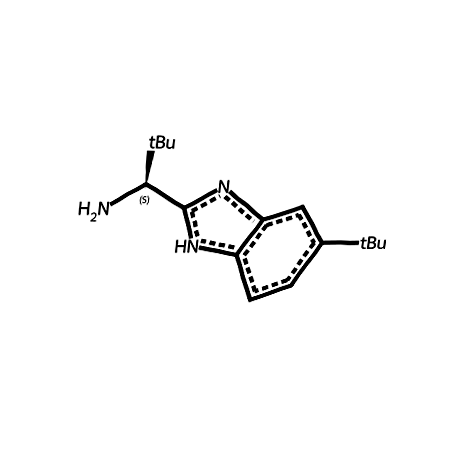 CC(C)(C)c1ccc2[nH]c([C@@H](N)C(C)(C)C)nc2c1